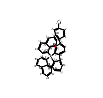 Clc1ccc(-c2ccc3c(c2)S(c2cccc4ccccc24)(c2cccc4ccccc24)c2ccccc2-3)cc1